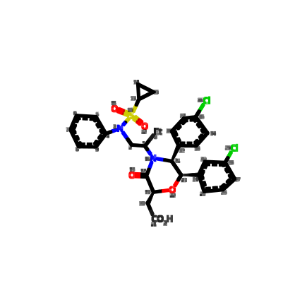 CCC(CN(c1ccccc1)S(=O)(=O)C1CC1)N1C(=O)[C@H](CC(=O)O)O[C@H](c2cccc(Cl)c2)[C@@H]1c1ccc(Cl)cc1